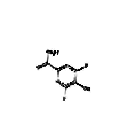 C=C(C(=O)O)c1cc(F)c(O)c(F)c1